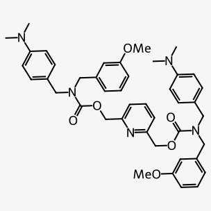 COc1cccc(CN(Cc2ccc(N(C)C)cc2)C(=O)OCc2cccc(COC(=O)N(Cc3ccc(N(C)C)cc3)Cc3cccc(OC)c3)n2)c1